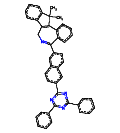 CC1(C)C2=C(CN=C(c3ccc4cc(-c5nc(-c6ccccc6)nc(-c6ccccc6)n5)ccc4c3)c3ccccc32)c2ccccc21